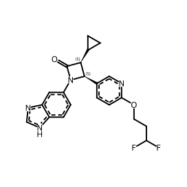 O=C1[C@@H](C2CC2)[C@@H](c2ccc(OCCC(F)F)nc2)N1c1ccc2[nH]cnc2c1